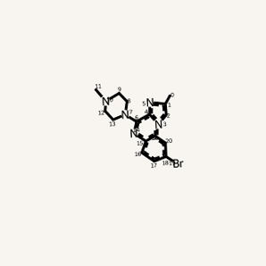 Cc1cn2c(n1)c(N1CCN(C)CC1)nc1ccc(Br)cc12